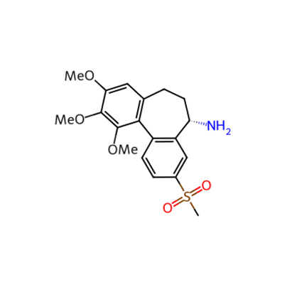 COc1cc2c(c(OC)c1OC)-c1ccc(S(C)(=O)=O)cc1[C@@H](N)CC2